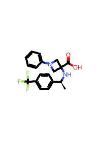 C[C@H](NC1(C(=O)O)CN(c2ccccc2)C1)c1ccc(C(F)(F)F)cc1